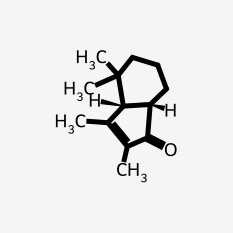 CC1=C(C)[C@H]2[C@H](CCCC2(C)C)C1=O